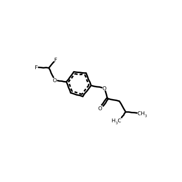 CC(C)CC(=O)Oc1ccc(OC(F)F)cc1